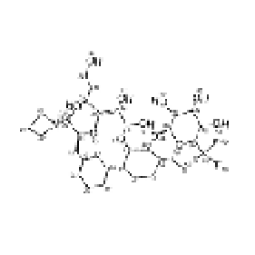 CCC1CCC[C@@H](O[C@H](O)/C(O)=C(\O[C@@H](CC2CCCCC2)C(=O)N2CCC2)[C@@H](O)CCO)C1O[C@@H]1OC(C(F)(F)F)[C@@H](O)C(O)C1O